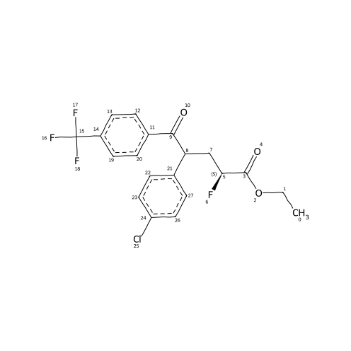 CCOC(=O)[C@@H](F)CC(C(=O)c1ccc(C(F)(F)F)cc1)c1ccc(Cl)cc1